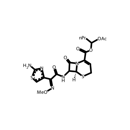 CCCC(OC(C)=O)OC(=O)C1=CCS[C@H]2C(NC(=O)C(=NOC)c3csc(N)n3)C(=O)N12